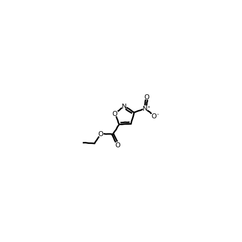 CCOC(=O)c1cc([N+](=O)[O-])no1